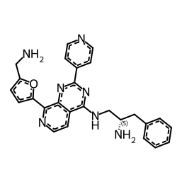 NCc1ccc(-c2nccc3c(NC[C@@H](N)Cc4ccccc4)nc(-c4ccncc4)nc23)o1